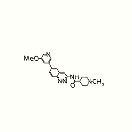 COc1cncc(-c2ccc3nnc(NC(=O)C4CCN(C)CC4)cc3c2)c1